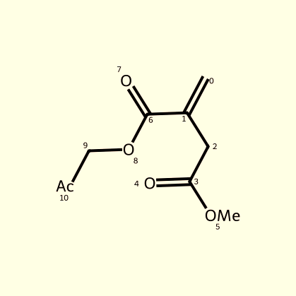 C=C(CC(=O)OC)C(=O)OCC(C)=O